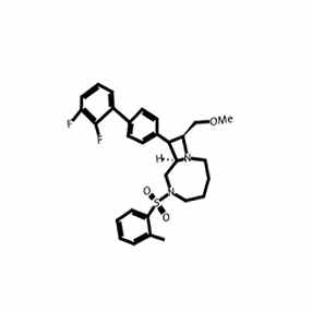 COC[C@@H]1C(c2ccc(-c3cccc(F)c3F)cc2)[C@@H]2CN(S(=O)(=O)c3ccccc3C)CCCCN12